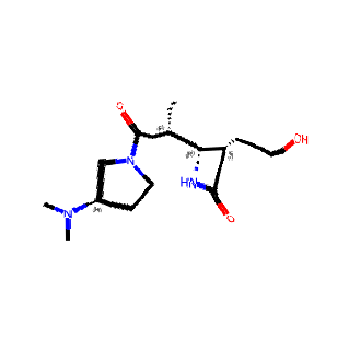 C[C@@H](C(=O)N1CC[C@@H](N(C)C)C1)[C@H]1NC(=O)[C@H]1CCO